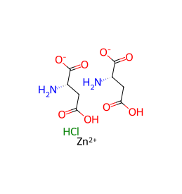 Cl.N[C@@H](CC(=O)O)C(=O)[O-].N[C@@H](CC(=O)O)C(=O)[O-].[Zn+2]